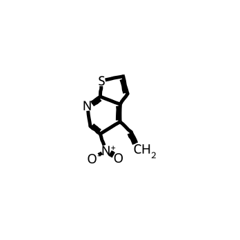 C=Cc1c([N+](=O)[O-])cnc2sccc12